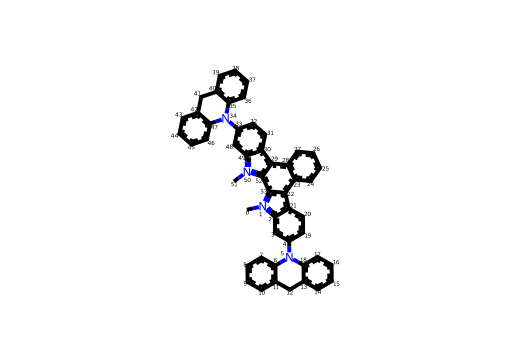 Cn1c2cc(N3c4ccccc4Cc4ccccc43)ccc2c2c3ccccc3c3c4ccc(N5c6ccccc6Cc6ccccc65)cc4n(C)c3c21